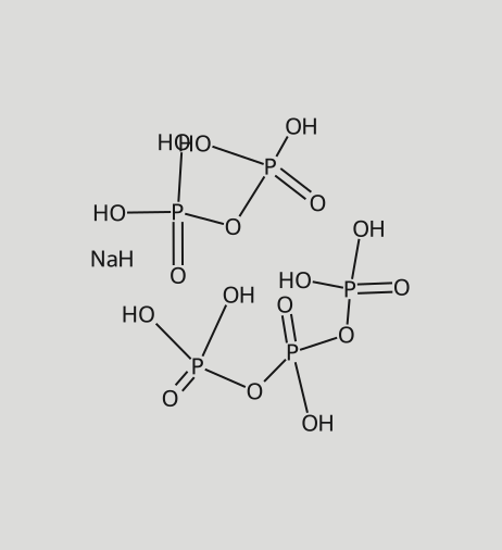 O=P(O)(O)OP(=O)(O)O.O=P(O)(O)OP(=O)(O)OP(=O)(O)O.[NaH]